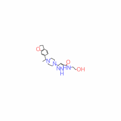 CC(c1ccc2c(c1)OCC2)N1CCN(c2cc(C(=O)NCCO)[nH]n2)CC1